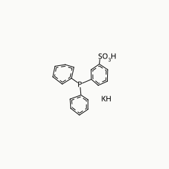 O=S(=O)(O)c1cccc(P(c2ccccc2)c2ccccc2)c1.[KH]